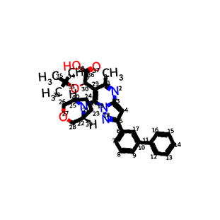 Cc1nc2cc(-c3cccc(-c4ccccc4)c3)nn2c(N2[C@@H]3CC[C@H]2COC3)c1[C@H](OC(C)(C)C)C(=O)O